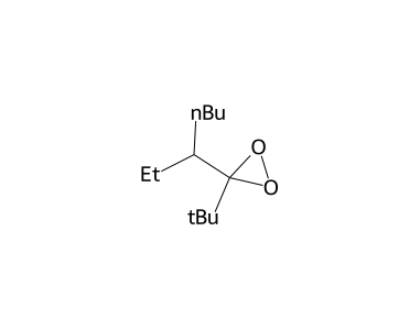 CCCCC(CC)C1(C(C)(C)C)OO1